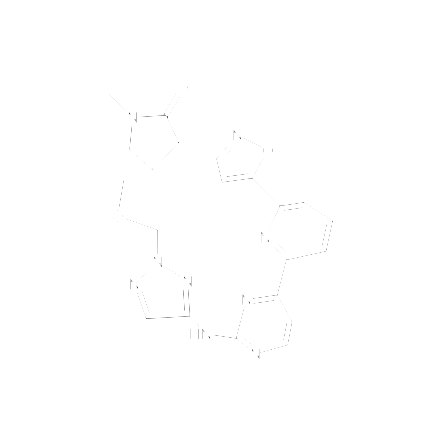 COCn1ncc(Nc2nccc(-c3cccc(-c4cc([C@@H]5CCN(C)C5=O)no4)n3)n2)n1